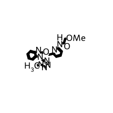 COCC(=O)Nc1cccc(COc2nc3ccccc3n2-c2nnnn2C)n1